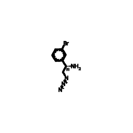 [N-]=[N+]=NC[C@@H](N)c1cccc(Br)c1